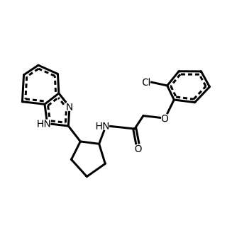 O=C(COc1ccccc1Cl)NC1CCCC1c1nc2ccccc2[nH]1